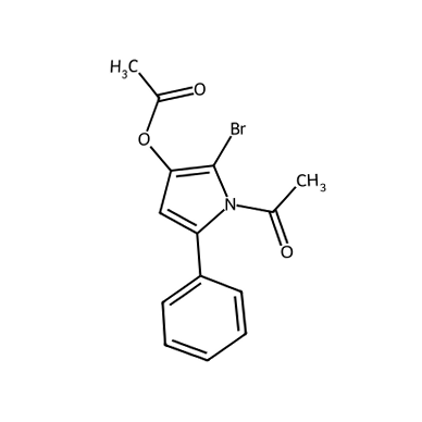 CC(=O)Oc1cc(-c2ccccc2)n(C(C)=O)c1Br